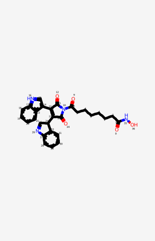 O=C(CCCCCCC(=O)N1C(=O)C(c2c[nH]c3ccccc23)=C(C2C=Nc3ccccc32)C1=O)NO